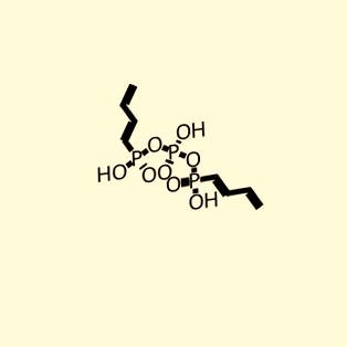 C=C/C=C/P(=O)(O)OP(=O)(O)OP(=O)(O)/C=C/C=C